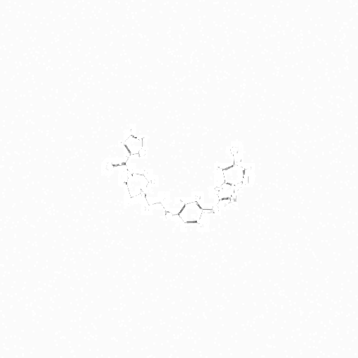 O=C(c1ccco1)N1CCN(CCOc2ccc(Oc3nc4ncc(Cl)cc4s3)cc2)CC1